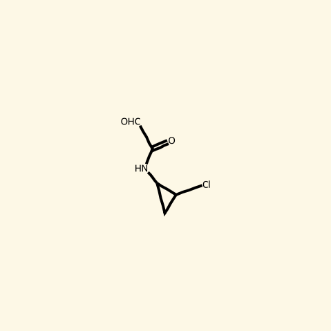 O=CC(=O)NC1CC1Cl